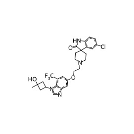 CC1(O)CC(n2cnc3cc(OCCN4CCC5(CC4)C(=O)Nc4ccc(Cl)cc45)cc(C(F)(F)F)c32)C1